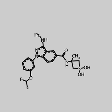 CC(C)Nc1nn(-c2cccc(OC(F)F)c2)c2ccc(C(=O)NC3(C)CS(O)(O)C3)cc12